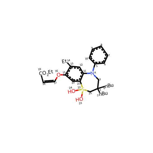 CCCCC1(CCCC)CN(c2ccccc2)c2cc(CC)c(O/C=C\C(=O)OCC)cc2S(O)(O)C1